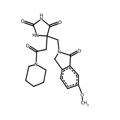 COc1ccc2c(c1)C(=O)N(CC1(CC(=O)N3CCCCC3)NC(=O)NC1=O)C2